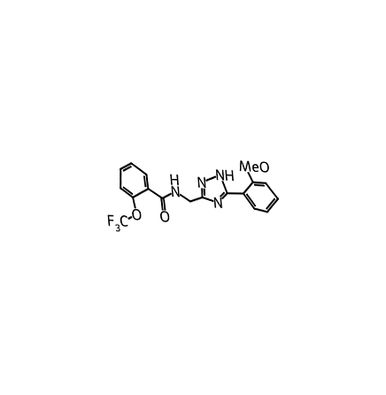 COc1ccccc1-c1nc(CNC(=O)c2ccccc2OC(F)(F)F)n[nH]1